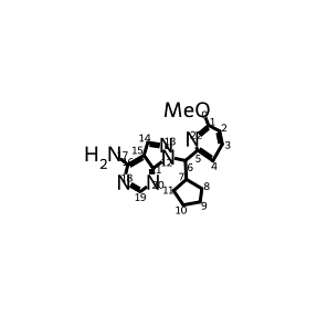 COc1cccc(C(C2CCCC2)n2ncc3c(N)ncnc32)n1